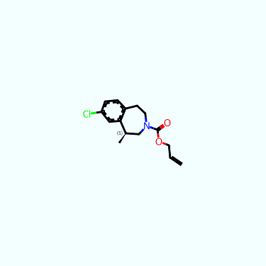 C=CCOC(=O)N1CCc2ccc(Cl)cc2[C@H](C)C1